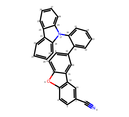 N#Cc1ccc2oc3ccc(-c4ccccc4-n4c5ccccc5c5ccccc54)cc3c2c1